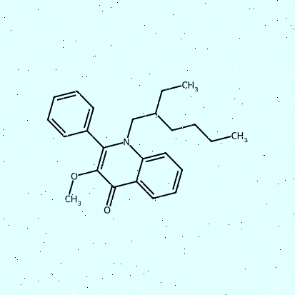 CCCCC(CC)Cn1c(-c2ccccc2)c(OC)c(=O)c2ccccc21